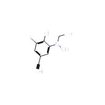 C#Cc1cc(I)c(C)c(N(C)CC)c1